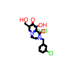 Cl.O=c1c(CO)cn2ccn(Cc3cccc(Cl)c3)c(=O)c2c1O